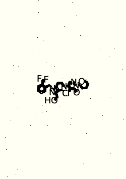 O=c1c(Cl)c(N2CCc3c(c(CO)nn3Cc3ccccc3C(F)F)C2)cnn1C1CCCCO1